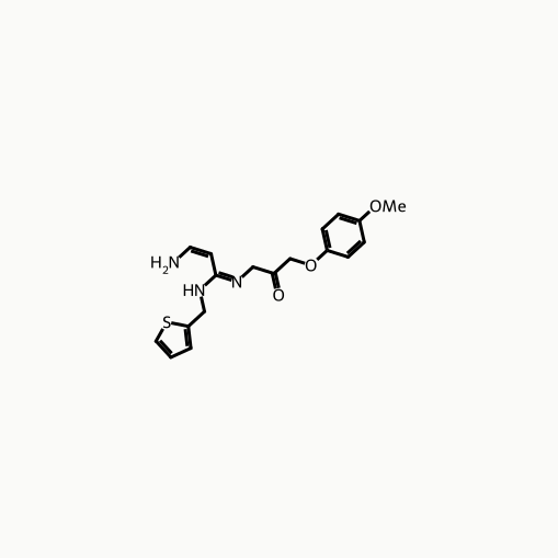 COc1ccc(OCC(=O)C/N=C(\C=C/N)NCc2cccs2)cc1